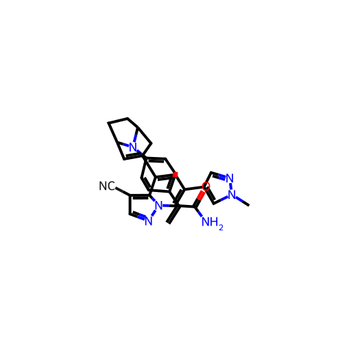 C=C(C(N)=O)c1ccc(N2C3C=C(c4cc(-c5cnn(C)c5)cn5ncc(C#N)c45)CC2CC3)cc1